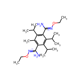 CCO/N=C(\N)c1c(C)c(C(C)C)c(/C(N)=N/OCC)c(C(C)C)c1C(C)C